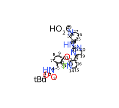 CC(C)(C)OC(=O)NCc1cccc(Oc2ncccc2-c2ccnc(N[C@H]3CCCN(C(=O)O)C3)n2)c1F